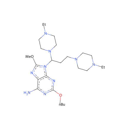 CCCCOc1nc(N)c2nc(OC)n(C(CCN3CCN(CC)CC3)N3CCN(CC)CC3)c2n1